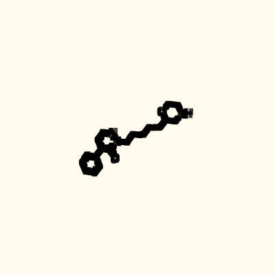 O=c1c(-c2ccccc2)ccnn1CCCCCC1CNCCO1